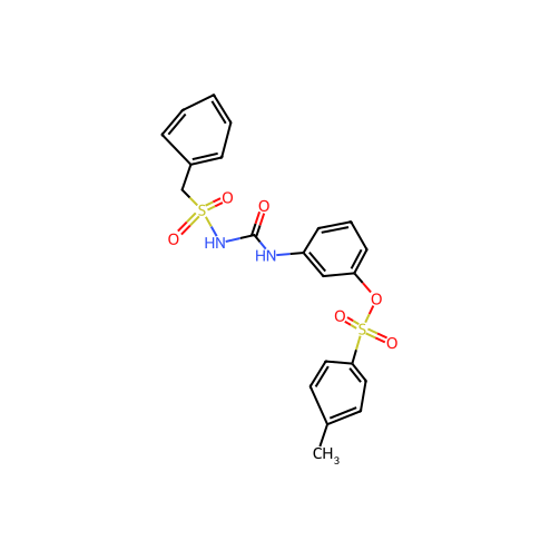 Cc1ccc(S(=O)(=O)Oc2cccc(NC(=O)NS(=O)(=O)Cc3ccccc3)c2)cc1